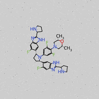 C[C@@H]1CN(c2c(F)cc(N3[C@@H](c4cc5[nH]c(C6CCCN6)nc5cc4F)CC[C@@H]3c3cc4[nH]c(C5CCCN5)nc4cc3F)cc2F)C[C@H](C)O1